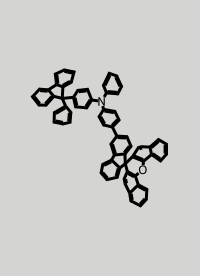 c1ccc(N(c2ccc(-c3ccc4c(c3)-c3ccccc3C43c4ccc5ccccc5c4Oc4c3ccc3ccccc43)cc2)c2ccc(C3(c4ccccc4)c4ccccc4-c4ccccc43)cc2)cc1